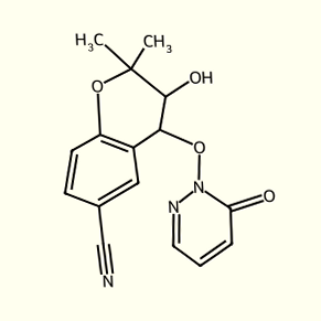 CC1(C)Oc2ccc(C#N)cc2C(On2ncccc2=O)C1O